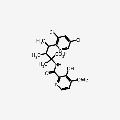 COc1ccnc(C(=O)NC(C)(C(=O)O)C(C)C(C)c2ncc(Cl)cc2Cl)c1O